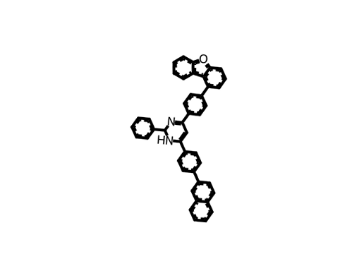 C1=C(c2ccc(-c3ccc4ccccc4c3)cc2)NC(c2ccccc2)N=C1c1ccc(-c2cccc3oc4ccccc4c23)cc1